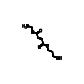 CCOC(=O)C=CC(=O)OCCCO